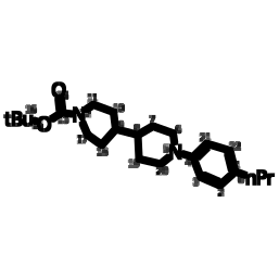 CCCc1ccc(N2CCC(C3CCN(C(=O)OC(C)(C)C)CC3)CC2)cc1